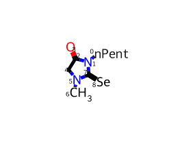 CCCCCN1C(=O)CN(C)C1=[Se]